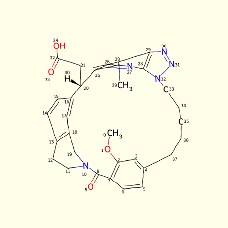 COc1cc2ccc1C(=O)N1CCc3ccc(cc3C1)[C@H](CC(=O)O)c1cnc3c(nnn3CCCCC2)c1C